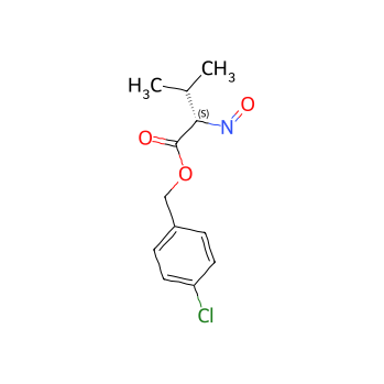 CC(C)[C@H](N=O)C(=O)OCc1ccc(Cl)cc1